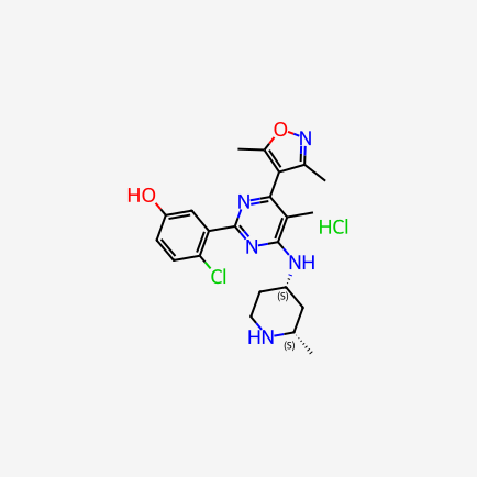 Cc1noc(C)c1-c1nc(-c2cc(O)ccc2Cl)nc(N[C@H]2CCN[C@@H](C)C2)c1C.Cl